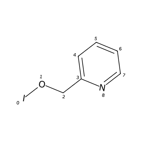 IOCc1ccccn1